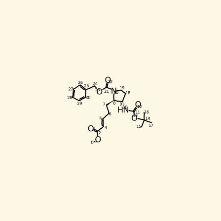 COC(=O)C=CCC[C@@H]1[C@@H](NC(=O)OC(C)(C)C)CCN1C(=O)OCc1ccccc1